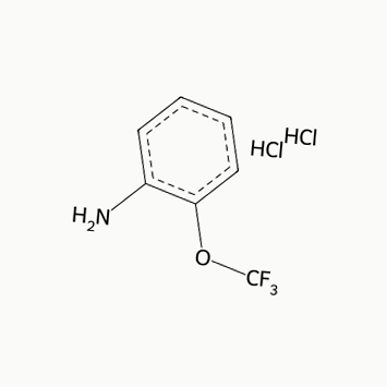 Cl.Cl.Nc1ccccc1OC(F)(F)F